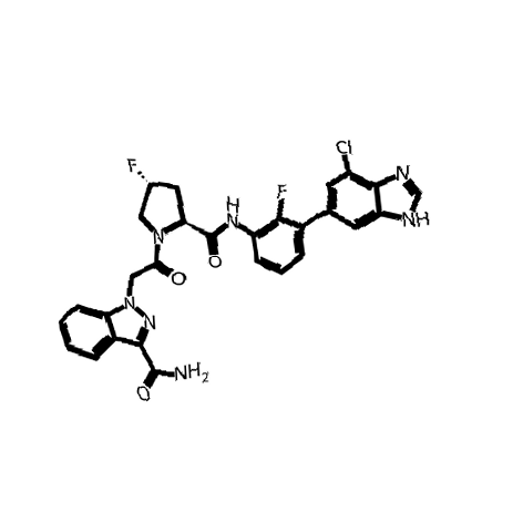 NC(=O)c1nn(CC(=O)N2C[C@H](F)C[C@H]2C(=O)Nc2cccc(-c3cc(Cl)c4nc[nH]c4c3)c2F)c2ccccc12